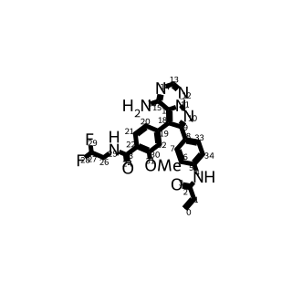 C=CC(=O)Nc1ccc(-c2nn3ncnc(N)c3c2-c2ccc(C(=O)NCC(F)F)c(OC)c2)cc1